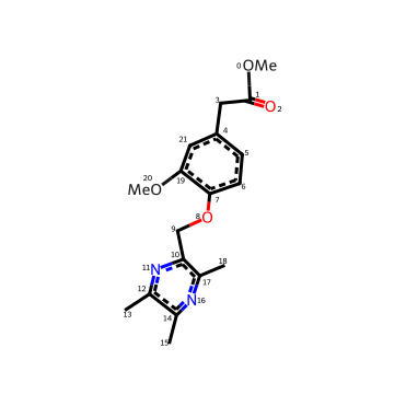 COC(=O)Cc1ccc(OCc2nc(C)c(C)nc2C)c(OC)c1